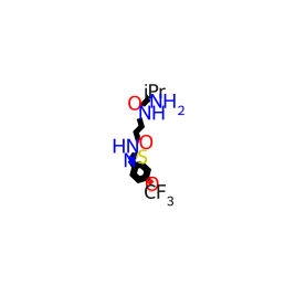 CC(C)[C@H](N)C(=O)NCCCC(=O)Nc1nc2ccc(OC(F)(F)F)cc2s1